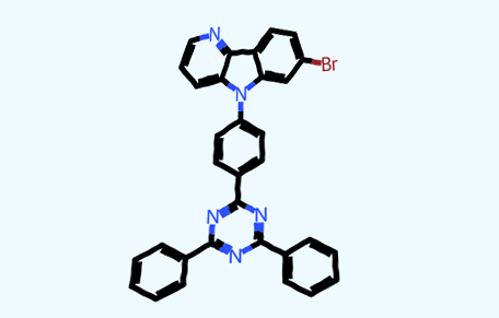 Brc1ccc2c3ncccc3n(-c3ccc(-c4nc(-c5ccccc5)nc(-c5ccccc5)n4)cc3)c2c1